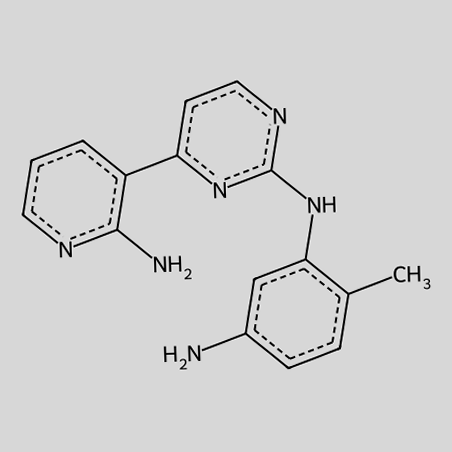 Cc1ccc(N)cc1Nc1nccc(-c2cccnc2N)n1